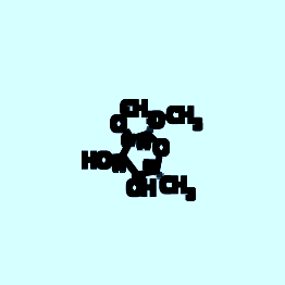 CO[C@@H]1O[C@H](C)[C@@H](O)[C@@H](O)[C@H]1OC